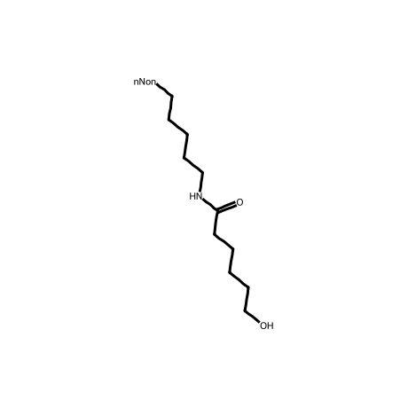 CCCCCCCCCCCCCCNC(=O)CCCCCO